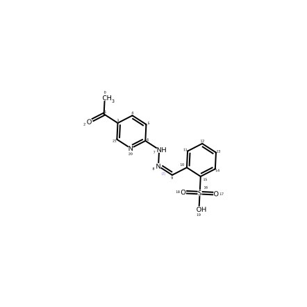 CC(=O)c1ccc(N/N=C\c2ccccc2S(=O)(=O)O)nc1